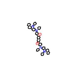 c1ccc(N(c2ccc3c(c2)oc2cc4cc5c(cc4cc23)oc2cc(N(c3ccccc3)c3ccc4c6ccc7ccccc7c6n(-c6ccccc6)c4c3)ccc25)c2ccc3c4ccc5ccccc5c4n(-c4ccccc4)c3c2)cc1